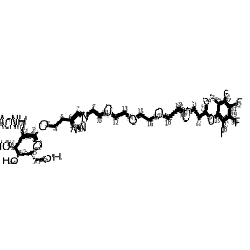 CC(=O)N[C@H]1[C@H](OCCc2cn(CCOCCOCCOCCOCCC(=O)Oc3c(F)c(F)c(F)c(F)c3F)nn2)O[C@H](CO)[C@H](O)[C@@H]1O